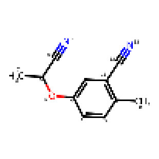 Cc1ccc(OC(C)C#N)cc1C#N